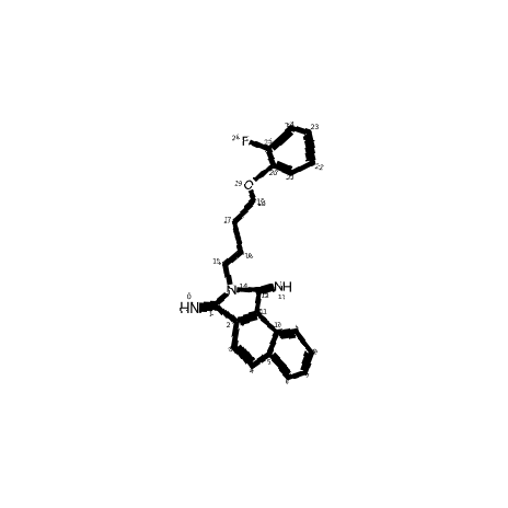 N=C1c2ccc3ccccc3c2C(=N)N1CCCCOc1ccccc1F